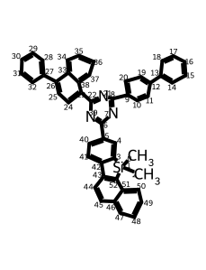 C[Si]1(C)c2cc(-c3nc(-c4ccc(-c5ccccc5)cc4)nc(-c4ccc(-c5ccccc5)c5ccccc45)n3)ccc2-c2ccc3ccccc3c21